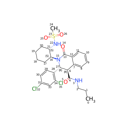 CCCNC(=O)[C@@H]1c2ccccc2C(=O)N([C@H]2CCCC[C@@H]2NS(C)(=O)=O)[C@H]1c1ccc(Cl)cc1Cl